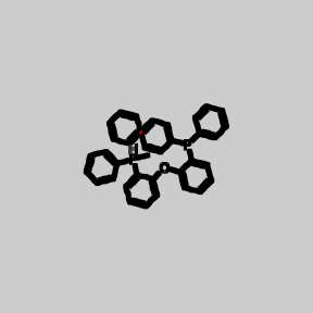 C[PH](c1ccccc1)(c1ccccc1)c1ccccc1Oc1ccccc1P(c1ccccc1)c1ccccc1